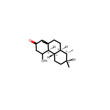 CC[C@@]1(C)CC[C@H]2[C@@H](CCC3=CC(=O)CC(OC(C)=O)[C@@H]32)[C@@H]1C